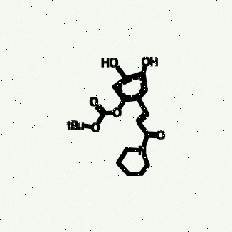 CC(C)(C)OC(=O)Oc1cc(O)c(O)cc1/C=C/C(=O)N1CCCCC1